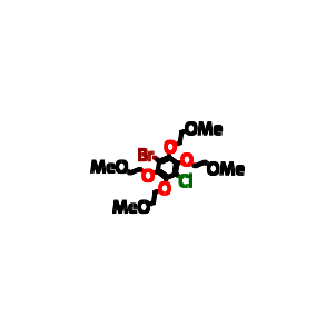 COCCOc1c(Cl)c(OCCOC)c(OCCOC)c(Br)c1OCCOC